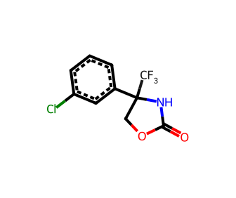 O=C1NC(c2cccc(Cl)c2)(C(F)(F)F)CO1